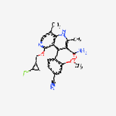 COc1cc(C#N)ccc1C1C(C(N)=O)=C(C)Nc2c(C)cnc(OCC3CC3F)c21